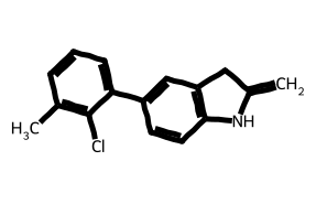 C=C1Cc2cc(-c3cccc(C)c3Cl)ccc2N1